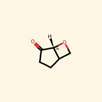 O=C1CCC2CO[C@@H]12